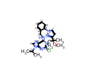 COC(C)(C)c1ccn(-c2ccccc2CNc2nc(Cl)nc3c2ncn3C(C)C)n1